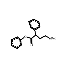 CCCCCCCCCCCCC(C(=O)Oc1ccccc1)c1ccccc1